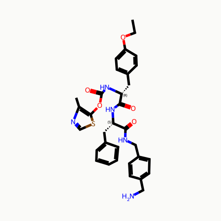 CCOc1ccc(C[C@@H](NC(=O)Oc2scnc2C)C(=O)N[C@@H](Cc2ccccc2)C(=O)NCc2ccc(CN)cc2)cc1